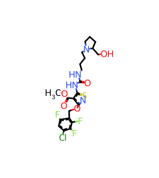 COC(=O)c1c(OCc2c(F)cc(Cl)c(F)c2F)nsc1NC(=O)NCCCCN1CCCC1CO